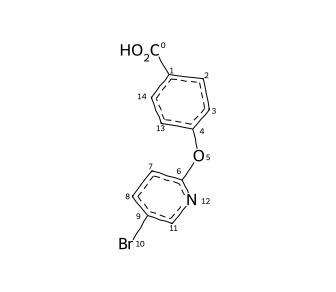 O=C(O)c1ccc(Oc2ccc(Br)cn2)cc1